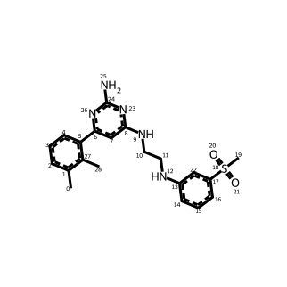 Cc1cccc(-c2cc(NCCNc3cccc(S(C)(=O)=O)c3)nc(N)n2)c1C